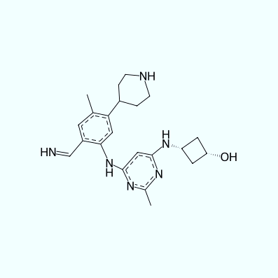 Cc1nc(Nc2cc(C3CCNCC3)c(C)cc2C=N)cc(N[C@H]2C[C@@H](O)C2)n1